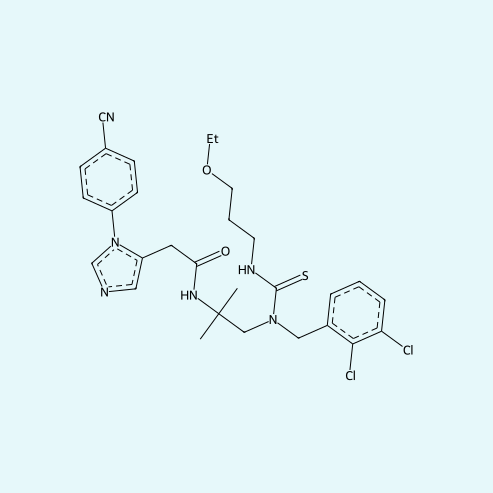 CCOCCCNC(=S)N(Cc1cccc(Cl)c1Cl)CC(C)(C)NC(=O)Cc1cncn1-c1ccc(C#N)cc1